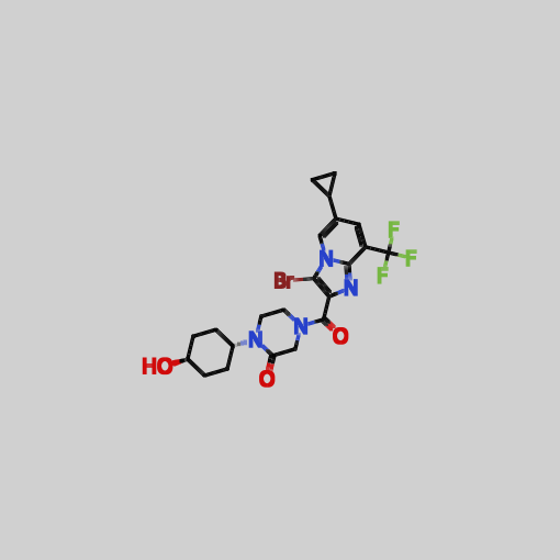 O=C(c1nc2c(C(F)(F)F)cc(C3CC3)cn2c1Br)N1CCN([C@H]2CC[C@H](O)CC2)C(=O)C1